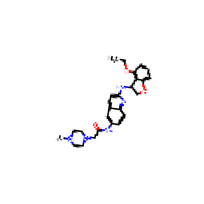 CCOc1cccc2c1C(Nc1ccc3cc(NC(=O)CN4CCN(C)CC4)ccc3n1)CO2